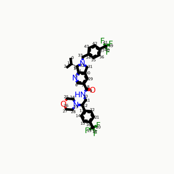 CC(C)[C@H]1c2ncc(C(=O)NCC(c3ccc(C(F)(F)F)cc3)N3CCOCC3)cc2CN1Cc1ccc(C(F)(F)F)cc1